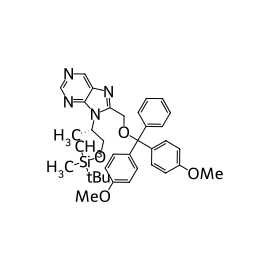 COc1ccc(C(OCc2nc3cncnc3n2[C@@H](C)CO[Si](C)(C)C(C)(C)C)(c2ccccc2)c2ccc(OC)cc2)cc1